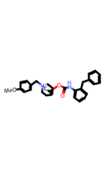 COc1ccc(C[N+]23CCC(CC2)C(OC(=O)Nc2ccccc2Cc2ccccc2)C3)cc1